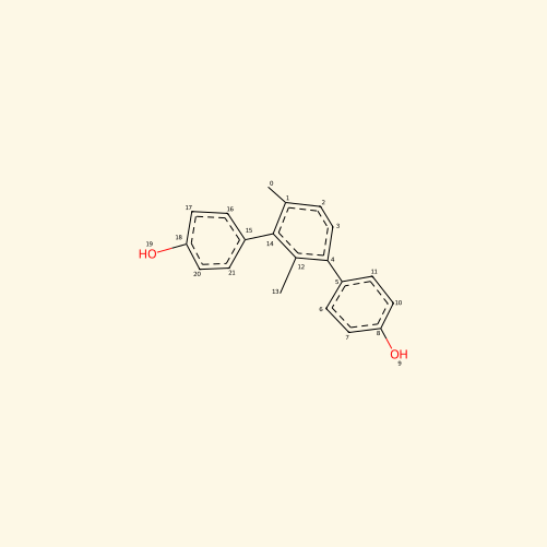 Cc1ccc(-c2ccc(O)cc2)c(C)c1-c1ccc(O)cc1